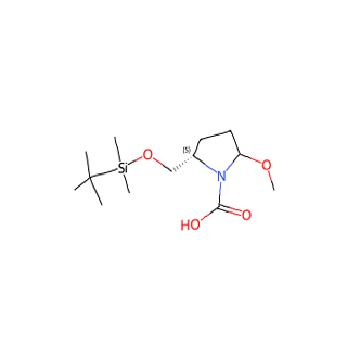 COC1CC[C@@H](CO[Si](C)(C)C(C)(C)C)N1C(=O)O